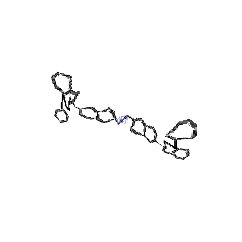 C(=C\c1ccc2cc(-c3cc4ccccc4n3-c3ccccc3)ccc2c1)/c1ccc2cc(-c3cc4ccccc4n3-c3ccccc3)ccc2c1